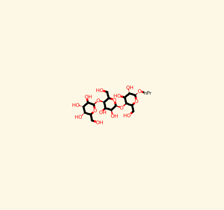 CCCO[C@@H]1OC(CO)[C@@H](O[C@@H]2OC(CO)[C@H](O[C@H]3OC(CO)[C@H](O)[C@H](O)C3O)C(O)[C@@H]2O)C(O)[C@@H]1O